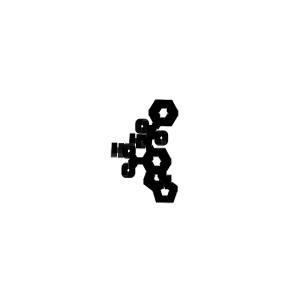 O=C(O)c1c(NS(=O)(=O)c2ccccc2)ccc2c1cc1n2CCC1